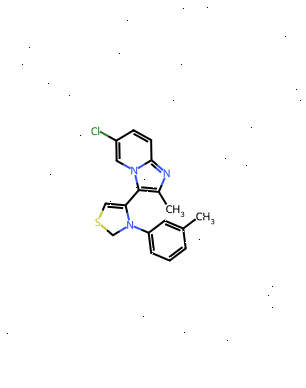 Cc1cccc(N2CSC=C2c2c(C)nc3ccc(Cl)cn23)c1